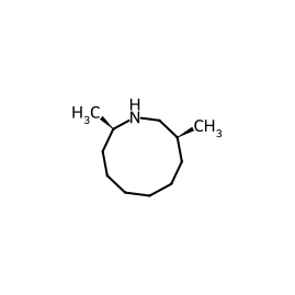 C[C@H]1CCCCCC[C@@H](C)NC1